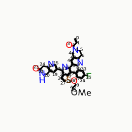 C=CC(=O)N1CCc2ncc(-c3nc(-c4cnc5c(c4)CNC(=O)C5)c4ccsc4c3-c3ccc(F)cc3OCCOC)cc2C1